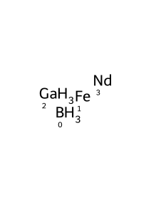 B.[Fe].[GaH3].[Nd]